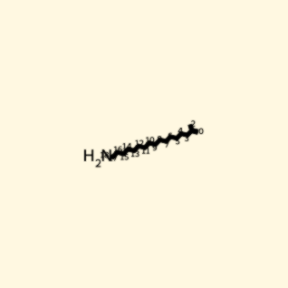 C=C(C)CCCCCCCCCCCCCCCN